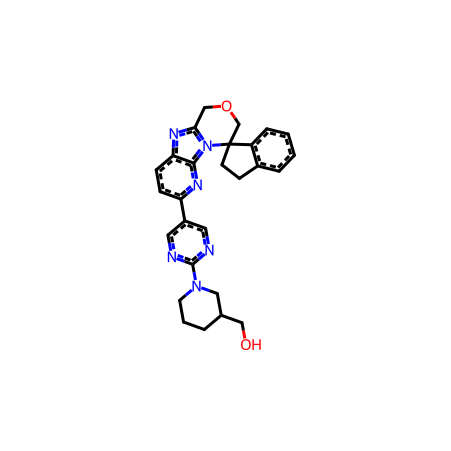 OCC1CCCN(c2ncc(-c3ccc4nc5n(c4n3)C3(CCc4ccccc43)COC5)cn2)C1